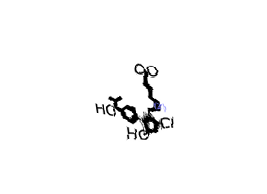 COC(=O)CCC/C=C\C[C@@H]1[C@@H](c2ccc(C(O)C(C)C)cc2)[C@H](O)C[C@@H]1Cl